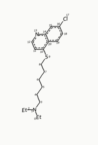 CCN(CC)CCCCCCSc1ccnc2cc(Cl)ccc12